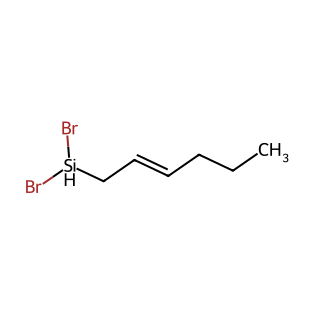 CCCC=CC[SiH](Br)Br